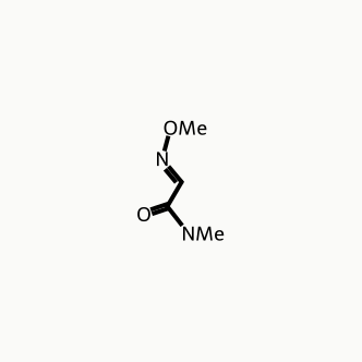 CNC(=O)C=NOC